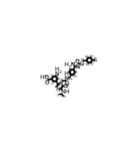 CC(C)Nc1ncc(-c2cc(N)cc(C(=O)O)c2)n(CC(=O)NCc2ccc(/C(N)=N/C(=O)OCc3ccc(F)cc3)cc2)c1=O